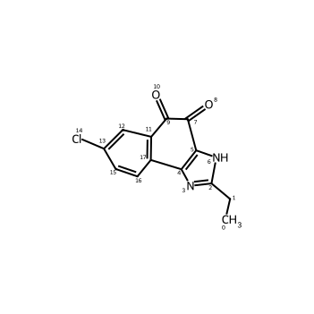 CCc1nc2c([nH]1)C(=O)C(=O)c1cc(Cl)ccc1-2